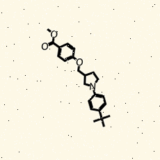 COC(=O)c1ccc(OCC2CCN(c3ccc(C(C)(C)C)cc3)C2)cc1